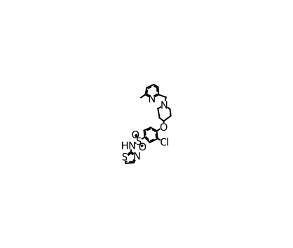 Cc1cccc(CN2CCC(Oc3ccc(S(=O)(=O)Nc4nccs4)cc3Cl)CC2)n1